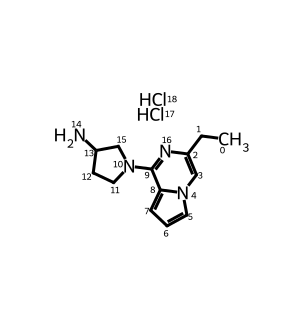 CCc1cn2cccc2c(N2CCC(N)C2)n1.Cl.Cl